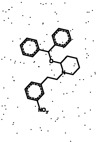 O=[N+]([O-])c1cccc(CCN2CCCCC2OC(c2ccccc2)c2ccccc2)c1